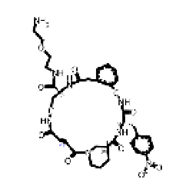 NCCOCCNC(=O)[C@@H]1CCNC(=O)/C=C/C(=O)N2CCC[C@H](C2)C(=O)N[C@@H](Cc2ccc([N+](=O)[O-])cc2)C(=O)NCc2ccccc2CC(=O)N1